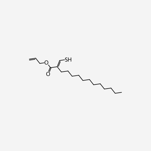 C=CCOC(=O)C(=CS)CCCCCCCCCCCC